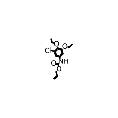 C=CCOC(=O)Nc1cc(Cl)c(OCC)c(OCC)c1